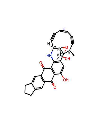 C[C@@H]1C#C/C=C\C#C[C@@H]2Nc3c(cc(O)c4c3C(=O)c3cc5c(cc3C4=O)CCC5)[C@]13O[C@@]23[C@@H](C)O